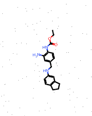 CCOC(=O)Nc1ccc(CNc2ccc3c(c2)CCC3)cc1N